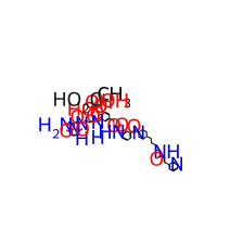 CC(O)C(OC(Oc1ccc(COC(=O)Nc2cccc(C(=O)N3CCC(CCCCNC(=O)/C=C/c4cccnc4)CC3)c2)cc1NC(=O)CCNC(=O)C(CN)N1C(=O)C=CC1=O)C(O)O)C(=O)O